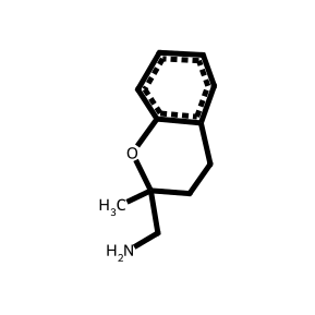 CC1(CN)CCc2ccccc2O1